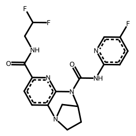 O=C(NCC(F)F)c1ccc2c(n1)N(C(=O)Nc1ccc(F)cn1)C1CCN2C1